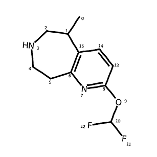 CC1CNCCc2nc(OC(F)F)ccc21